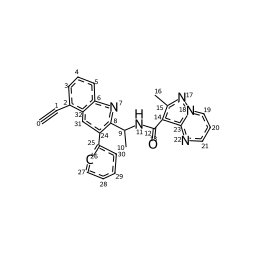 C#Cc1cccc2nc(C(C)NC(=O)c3c(C)nn4cccnc34)c(-c3ccccc3)cc12